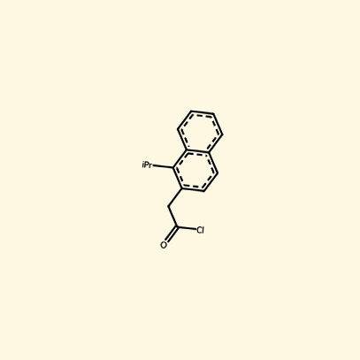 CC(C)c1c(CC(=O)Cl)ccc2ccccc12